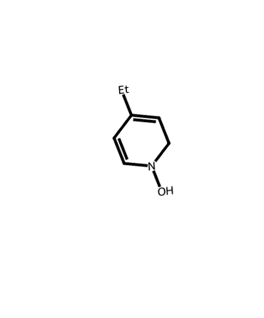 CCC1=CCN(O)C=C1